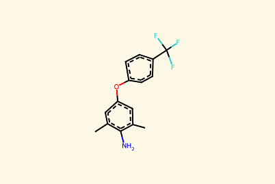 Cc1cc(Oc2ccc(C(F)(F)F)cc2)cc(C)c1N